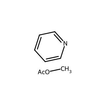 COC(C)=O.c1ccncc1